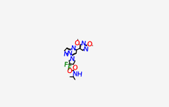 COc1ncc(-c2cc(N3CC(OC(=O)NC(C)C)C(F)(F)C3)n3nccc3n2)c(OC)n1